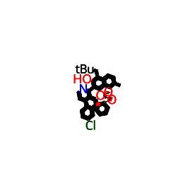 Cc1ccc2c(CC(C)(C)C)c(O)c(-c3nccc4c3c(OS(=O)(=O)c3ccccc3)cc3cc(Cl)ccc34)cc2c1